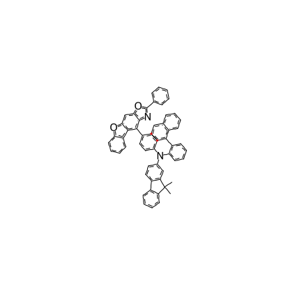 CC1(C)c2ccccc2-c2ccc(N(c3ccc(-c4c5nc(-c6ccccc6)oc5cc5oc6ccccc6c45)cc3)c3ccccc3-c3cccc4ccccc34)cc21